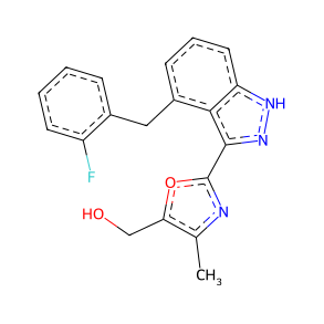 Cc1nc(-c2n[nH]c3cccc(Cc4ccccc4F)c23)oc1CO